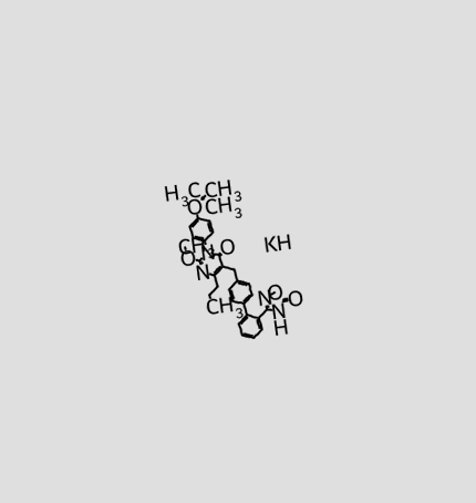 CCCc1nc(OC)n(-c2ccc(OC(C)(C)C)cc2)c(=O)c1Cc1ccc(-c2ccccc2-c2noc(=O)[nH]2)cc1.[KH]